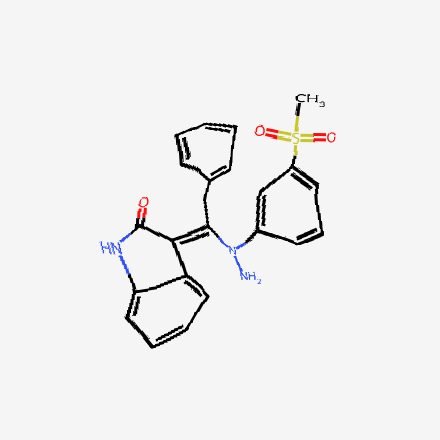 CS(=O)(=O)c1cccc(N(N)C(=C2C(=O)Nc3ccccc32)c2ccccc2)c1